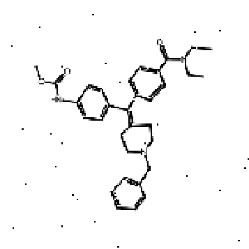 CCN(CC)C(=O)c1ccc(C(=C2CCN(Cc3ccccc3)CC2)c2ccc(NC(=O)OC)cc2)cc1